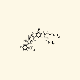 NCCCN(CCCN)Cc1ccc(-n2cc3cc(-c4ccccc4C(F)(F)F)[nH]c3nc2=O)cc1F